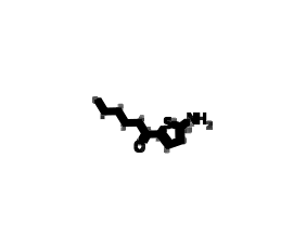 CCCCCC(=O)c1ccc(N)s1